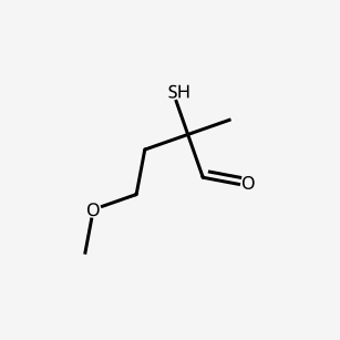 COCCC(C)(S)C=O